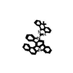 CC1(C)c2ccccc2-c2nc(-n3c4ccccc4c4c5c6c7ccccc7ccc6n6c7ccccc7c(cc43)c56)nc3cccc1c23